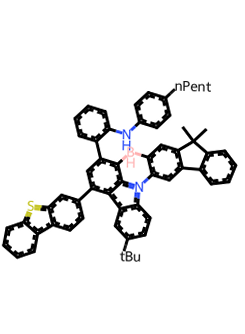 CCCCCc1ccc(Nc2ccccc2-c2cc(-c3ccc4c(c3)sc3ccccc34)c3c4cc(C(C)(C)C)ccc4n4c3c2Bc2cc3c(cc2-4)-c2ccccc2C3(C)C)cc1